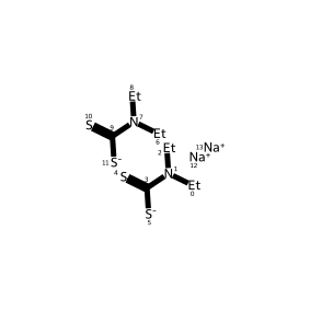 CCN(CC)C(=S)[S-].CCN(CC)C(=S)[S-].[Na+].[Na+]